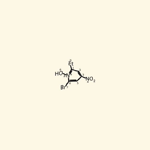 CCc1cc([N+](=O)[O-])cc(Br)[n+]1O